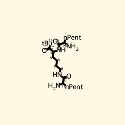 CCCCCC(N)C(=O)NCCCCC(NC(=O)C(N)CCCCC)C(=O)C(C)(C)C